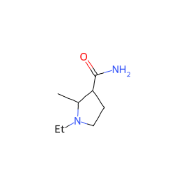 CCN1CCC(C(N)=O)C1C